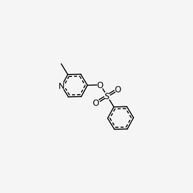 Cc1cc(OS(=O)(=O)c2ccccc2)ccn1